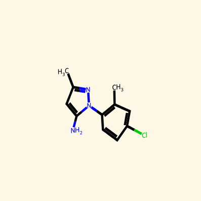 Cc1cc(N)n(-c2ccc(Cl)cc2C)n1